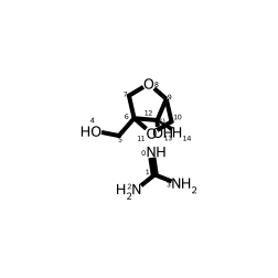 N=C(N)N.OCC12COC(CO1)[C@@H]2O